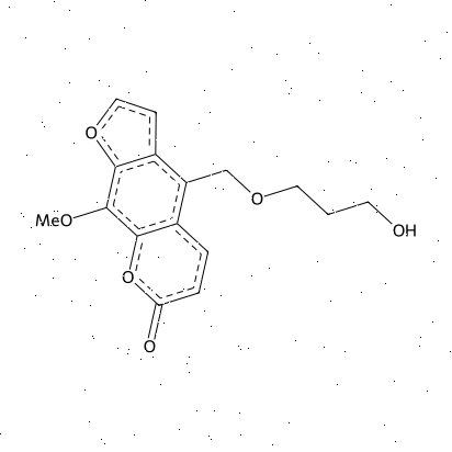 COc1c2occc2c(COCCCO)c2ccc(=O)oc12